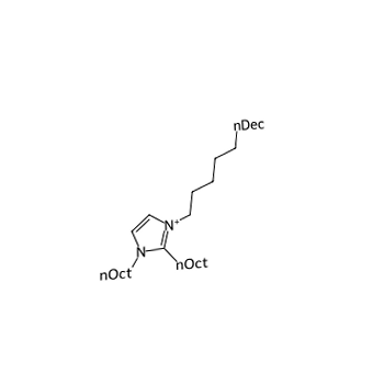 CCCCCCCCCCCCCCC[n+]1ccn(CCCCCCCC)c1CCCCCCCC